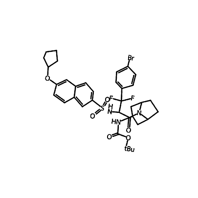 CC(C)(C)OC(=O)NC1CC2CCC(C1)N2C(=O)C(NS(=O)(=O)c1ccc2cc(OC3CCCC3)ccc2c1)C(F)(F)c1ccc(Br)cc1